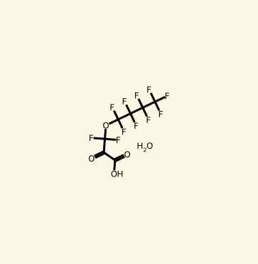 O.O=C(O)C(=O)C(F)(F)OC(F)(F)C(F)(F)C(F)(F)C(F)(F)F